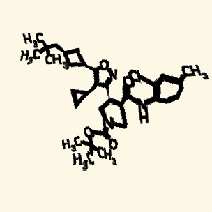 Cc1ccc(NC(=O)[C@H]2CN(C(=O)OC(C)(C)C)C[C@@H]2c2noc([C@H]3C[C@@H](CC(C)(C)C)C3)c2C2CC2)c(Cl)c1